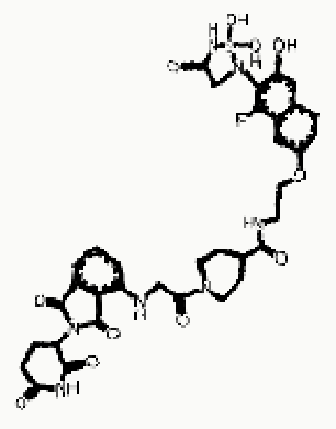 O=C1CCC(N2C(=O)c3cccc(NCC(=O)N4CCC(C(=O)NCCOc5ccc6cc(O)c(N7CC(=O)NS7(O)O)c(F)c6c5)CC4)c3C2=O)C(=O)N1